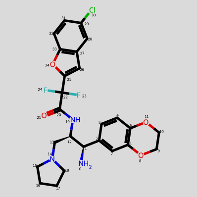 N[C@H](c1ccc2c(c1)OCCO2)[C@@H](CN1CCCC1)NC(=O)C(F)(F)c1cc2cc(Cl)ccc2o1